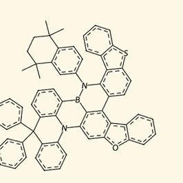 CC1(C)CCC(C)(C)c2cc(N3B4c5cccc6c5N(c5ccccc5C6(c5ccccc5)c5ccccc5)c5cc6oc7ccccc7c6c(c54)-c4ccc5sc6ccccc6c5c43)ccc21